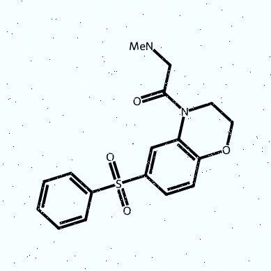 CNCC(=O)N1CCOc2ccc(S(=O)(=O)c3ccccc3)cc21